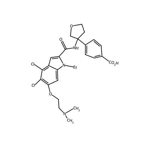 CCn1c(C(=O)NC2(c3ccc(C(=O)O)cc3)CCOC2)cc2c(Cl)c(Cl)c(OCCN(C)C)cc21